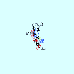 CCOC(=O)CCCC(C(=O)NC1(OC)C(=O)N2C(C(=O)OCc3ccc(OC(=O)C(C)(C)C)cc3)=C(CSc3nnnn3C)CSC21)n1cccc1